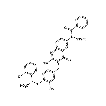 CCCCCN(C(=O)c1ccccc1)c1ccc2nc(CCCC)n(Cc3ccc(OC(C(=O)O)c4ccccc4Cl)c(CCC)c3)c(=O)c2c1